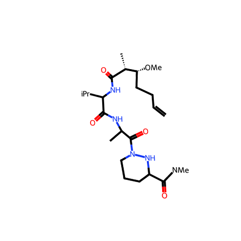 C=CCC[C@@H](OC)[C@@H](C)C(=O)NC(C(=O)NC(C)C(=O)N1CCCC(C(=O)NC)N1)C(C)C